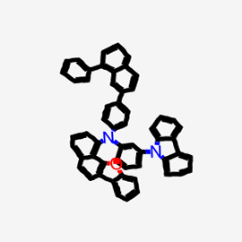 c1ccc(-c2cccc3ccc(-c4ccc(N(c5cccc(-n6c7ccccc7c7ccccc76)c5)c5cccc6ccc7c8ccccc8oc7c56)cc4)cc23)cc1